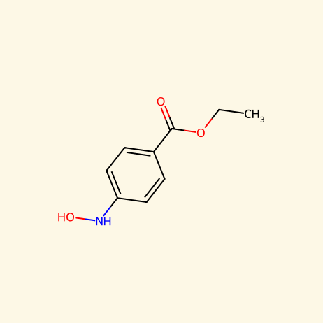 CCOC(=O)c1ccc(NO)cc1